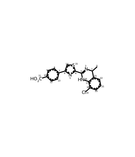 CC1N=C(c2nc(-c3ccc(C(=O)O)cc3)cs2)Nc2c(Cl)cccc21